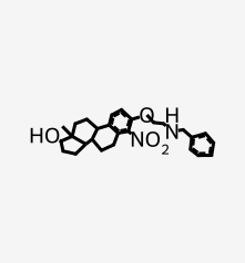 CC12CCC3c4ccc(OCCNCc5ccccc5)c([N+](=O)[O-])c4CCC3C1CCC2O